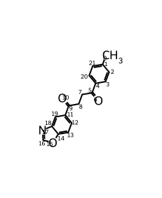 Cc1ccc(C(=O)CCC(=O)c2ccc3ocnc3c2)cc1